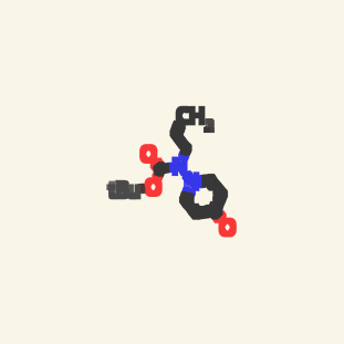 C=CCN(C(=O)OC(C)(C)C)n1ccc(=O)cc1